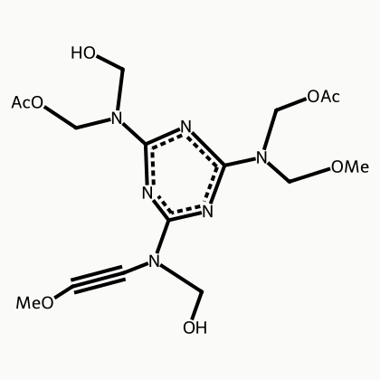 COC#CN(CO)c1nc(N(CO)COC(C)=O)nc(N(COC)COC(C)=O)n1